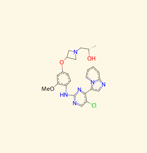 COc1cc(OC2CN(C[C@H](C)O)C2)ccc1Nc1ncc(Cl)c(-c2cnc3ccccn23)n1